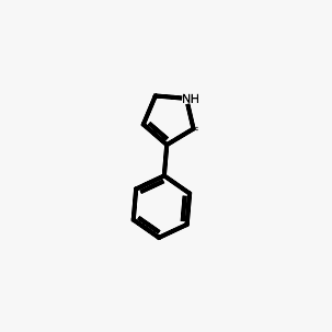 [C]1NCC=C1c1ccccc1